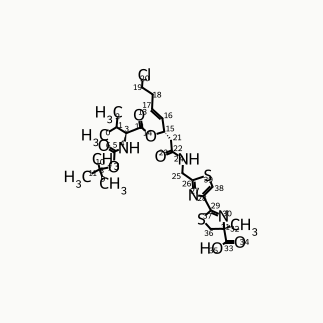 CC(C)[C@H](NC(=O)OC(C)(C)C)C(=O)O[C@H](C=CCCCl)CC(=O)NCc1nc(C2=N[C@](C)(C(=O)O)CS2)cs1